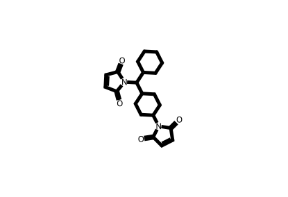 O=C1C=CC(=O)N1C1CCC(C(C2CCCCC2)N2C(=O)C=CC2=O)CC1